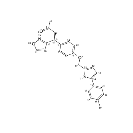 CC(=O)C[C@@H](c1ccc(OCc2ccc(-c3ccc(C)cc3)s2)cc1)c1ccon1